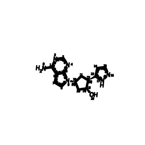 Nc1ncnc2c1ccn2[C@@H]1C[C@H](c2ccn[nH]2)[C@@H](O)C1